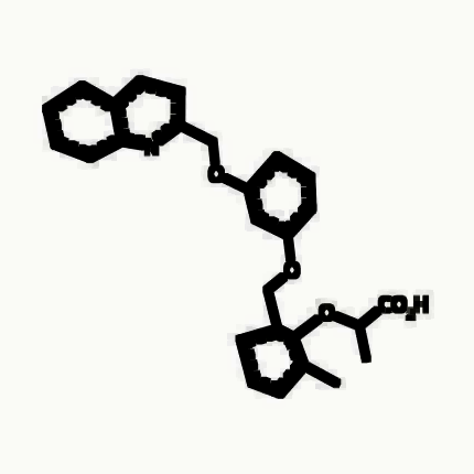 Cc1cccc(COc2cccc(OCc3ccc4ccccc4n3)c2)c1OC(C)C(=O)O